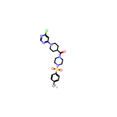 O=C(C1CCN(c2cc(Cl)ncn2)CC1)N1CCN(S(=O)(=O)c2ccc(C(F)(F)F)cc2)CC1